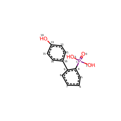 O=P(O)(O)c1ccccc1-c1ccc(O)cc1